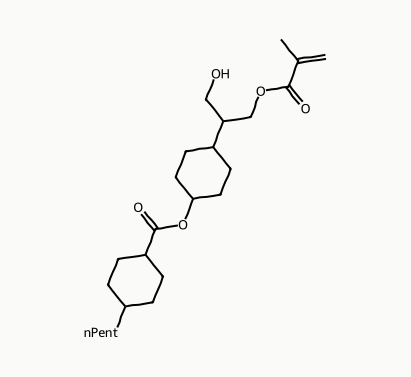 C=C(C)C(=O)OCC(CO)C1CCC(OC(=O)C2CCC(CCCCC)CC2)CC1